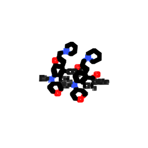 CCN(c1cc2oc(CN3CCCCC3)cc2c(C(=O)O)c1C)C1CCOCC1.CCN(c1cc2oc(CN3CCCCC3)cc2c(C(=O)OC)c1C)C1CCOCC1